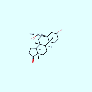 C[C@]12CCC(O)CC1=CC[C@@H]1[C@@H]2CC[C@]2(C)C(=O)CC[C@@H]12.O=S(=O)(O)O.[NaH]